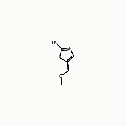 COCc1cnc(S)s1